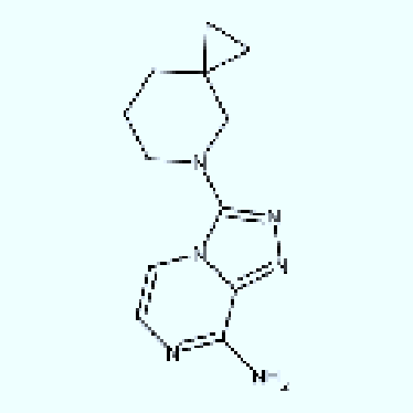 Nc1nccn2c(N3CCCC4(CC4)C3)nnc12